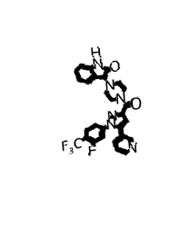 O=C1Nc2ccccc2C1N1CCN(C(=O)c2cc(-c3cccnc3)n(-c3ccc(C(F)(F)F)c(F)c3)n2)CC1